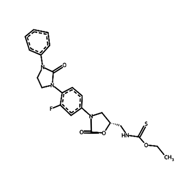 CCOC(=S)NC[C@H]1CN(c2ccc(N3CCN(c4ccccc4)C3=O)c(F)c2)C(=O)O1